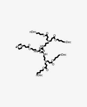 CCCCCCCCCCCCCCOC(=O)CCN(CCCNc1nc(NCCCOC(=O)CCN2CCN(C)CC2)nc(NCCCN(CCC(=O)OCCCCCCCCCCCCCC)CCC(=O)OCCCCCCCCCCCCCC)n1)CCC(=O)OCCCCCCCCCCCCCC